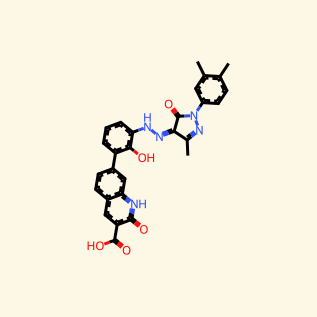 CC1=NN(c2ccc(C)c(C)c2)C(=O)C1=NNc1cccc(-c2ccc3cc(C(=O)O)c(=O)[nH]c3c2)c1O